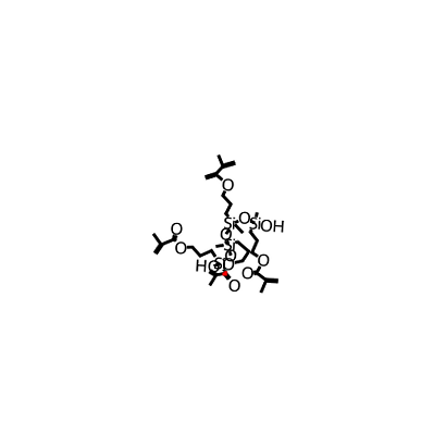 C=C(C)C(=C)OCCC[Si](C)(O[Si](C)(O)CCCOC(=O)C(=C)C)O[Si](C)(CCCOC(=O)C(=C)C)O[Si](C)(O)CCCOC(=O)C(=C)C